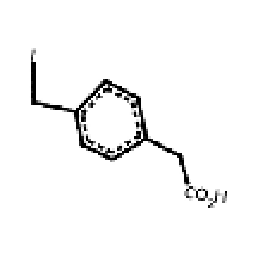 O=C(O)Cc1ccc(CI)cc1